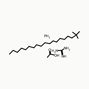 CC(=O)O.CCCCCCCCCCCCCCCCCC(C)(C)C.N=C(N)N.P